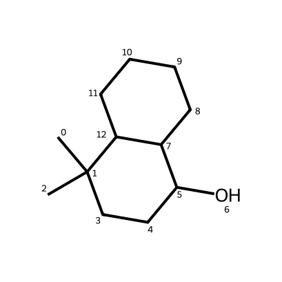 CC1(C)CCC(O)C2CCCCC21